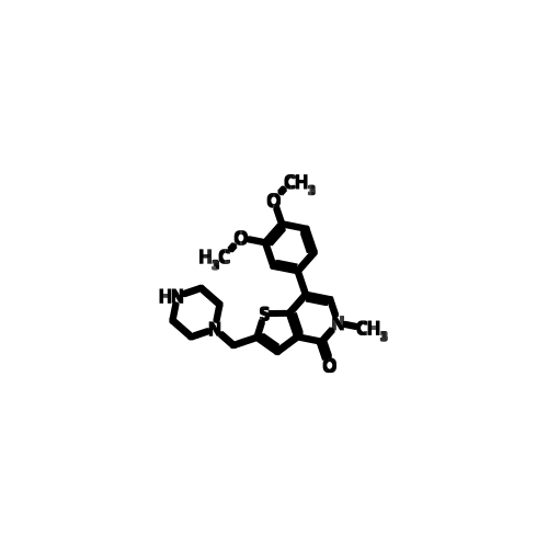 COc1ccc(-c2cn(C)c(=O)c3cc(CN4CCNCC4)sc23)cc1OC